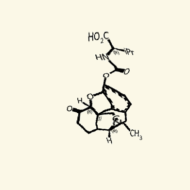 CC(C)[C@@H](NC(=O)Oc1ccc2c3c1O[C@H]1C(=O)CCC4[C@@H](C2)N(C)CC[C@@]341)C(=O)O